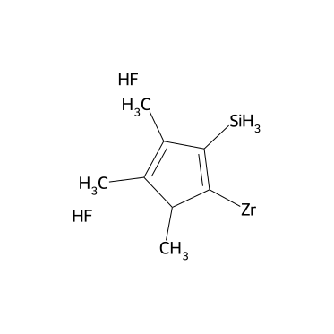 CC1=C(C)C(C)[C]([Zr])=C1[SiH3].F.F